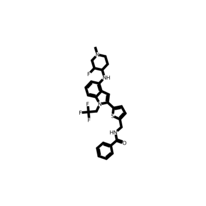 CN1CCC(Nc2cccc3c2cc(-c2ccc(CNC(=O)c4ccccc4)s2)n3CC(F)(F)F)C(F)C1